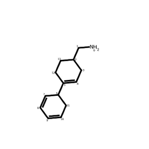 NCC1CC=C(C2C=CC=CC2)CC1